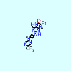 CC[C@H]1C(=O)Nc2c(C)nc(N[C@H]3C[C@@H](N(C)c4cnc(C(F)(F)F)cn4)C3)nc2N1C